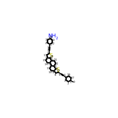 Cc1ccc(C#Cc2cc3ccc4c5ccc6cc(C#Cc7ccc(N)cc7)sc6c5ccc4c3s2)cc1